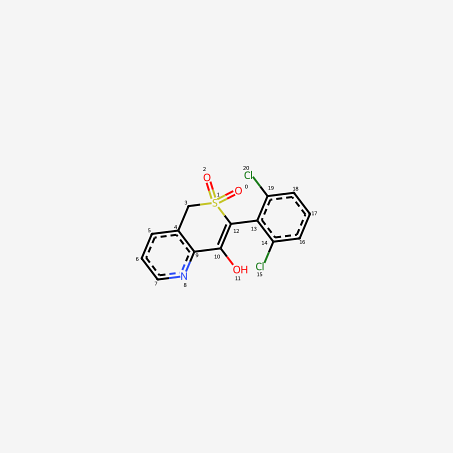 O=S1(=O)Cc2cccnc2C(O)=C1c1c(Cl)cccc1Cl